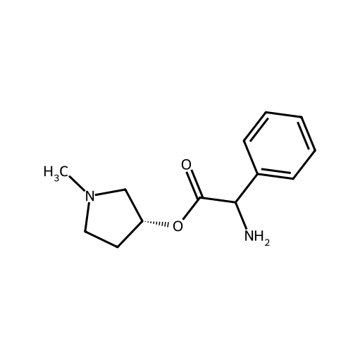 CN1CC[C@@H](OC(=O)C(N)c2ccccc2)C1